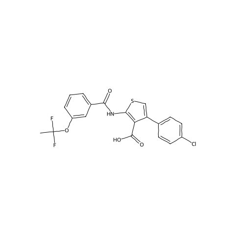 CC(F)(F)Oc1cccc(C(=O)Nc2scc(-c3ccc(Cl)cc3)c2C(=O)O)c1